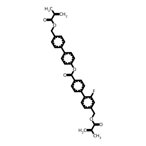 C=C(C)C(=O)OCc1ccc(-c2ccc(OC(=O)c3ccc(-c4ccc(COC(=O)C(=C)C)cc4F)cc3)cc2)cc1